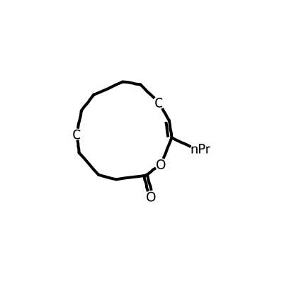 CCC/C1=C/CCCCCCCCCC(=O)O1